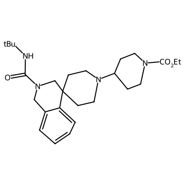 CCOC(=O)N1CCC(N2CCC3(CC2)CN(C(=O)NC(C)(C)C)Cc2ccccc23)CC1